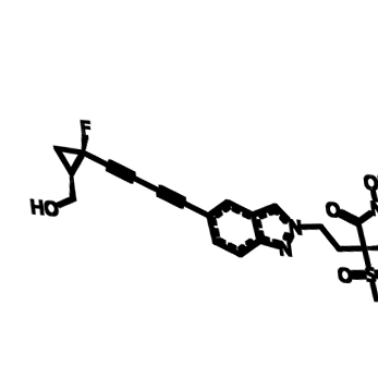 C[C@@](CCn1cc2cc(C#CC#C[C@@]3(F)C[C@@H]3CO)ccc2n1)(C(=O)NO)S(C)(=O)=O